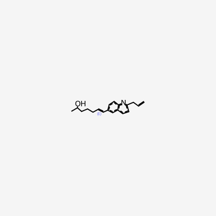 C=CCc1ccc2cc(/C=C/CCCC(C)O)ccc2n1